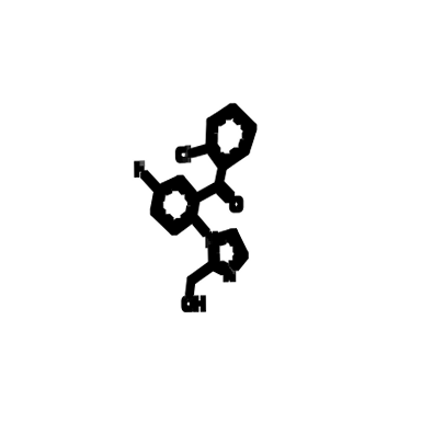 O=C(c1ccccc1Cl)c1cc(F)ccc1-n1ccnc1CO